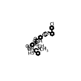 CN(C)CCC(Nc1cc(S(=O)(=O)NC(=O)c2ccc(N3CCN(Cc4ccccc4-c4ccc(Cl)cc4)CC3)cc2)ccc1[N+](=O)[O-])[C@H](S)c1ccccc1